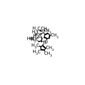 CC[C](CC)=[Ti]([O]c1cc(C)cc([Si](C)(C)C(C)(C)C)c1)[C]1=C(C)C(C)=C(C)C1C.Cl.Cl